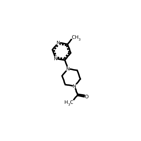 CC(=O)N1CCN(c2cc(C)ncn2)CC1